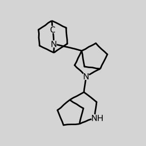 C1CC2CCC1CN2C12CCC(C1)N(C1CNC3CCC1C3)C2